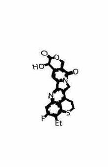 CCc1c(F)cc2nc3c(c4c2c1SCC4)Cn1c-3cc2c(c1=O)COC(=O)C2O